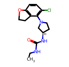 CCNC(=O)N[C@@H]1CCN(c2c(Cl)ccc3c2CCO3)C1